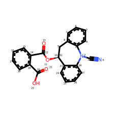 N#CN1c2ccccc2C[C@H](OC(=O)c2ccccc2C(=O)O)c2ccccc21